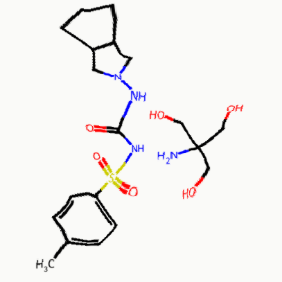 Cc1ccc(S(=O)(=O)NC(=O)NN2CC3CCCC3C2)cc1.NC(CO)(CO)CO